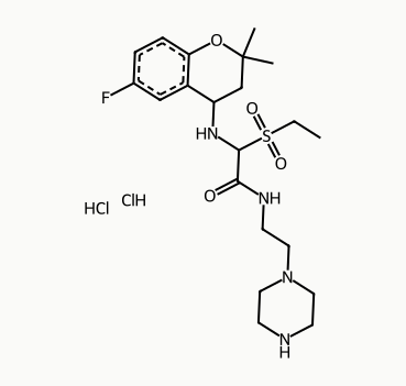 CCS(=O)(=O)C(NC1CC(C)(C)Oc2ccc(F)cc21)C(=O)NCCN1CCNCC1.Cl.Cl